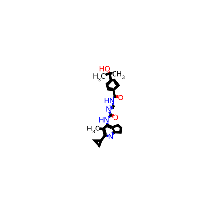 Cc1c(C2CC2)nc2c(c1NC(=O)/N=C/NC(=O)c1ccc(C(C)(C)O)cc1)CCC2